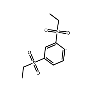 CCS(=O)(=O)c1[c]ccc(S(=O)(=O)CC)c1